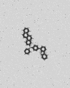 c1ccc(N(c2ccc(-c3cccc4c3sc3ccccc34)cc2)c2ccc3c(ccc4c5ccccc5ccc34)c2)cc1